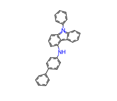 c1ccc(-c2ccc(Nc3cccc4c3c3ccccc3n4-c3ccccc3)cc2)cc1